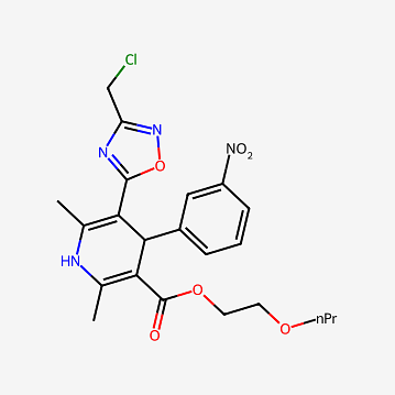 CCCOCCOC(=O)C1=C(C)NC(C)=C(c2nc(CCl)no2)C1c1cccc([N+](=O)[O-])c1